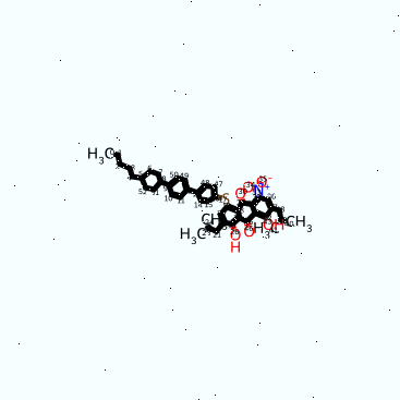 CCCCCC1CCC(c2ccc(-c3ccc(Sc4cc(CC(C)C)c(O)c5c4C(=O)c4c([N+](=O)[O-])cc(CC(C)C)c(O)c4C5=O)cc3)cc2)CC1